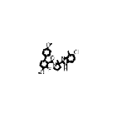 COc1ccc(-c2ccc(OC)c(F)c2C(=O)N2CCCC2(C)c2nc3c(C)c(Cl)ccc3[nH]2)cc1